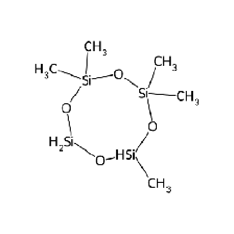 C[SiH]1O[SiH2]O[Si](C)(C)O[Si](C)(C)O1